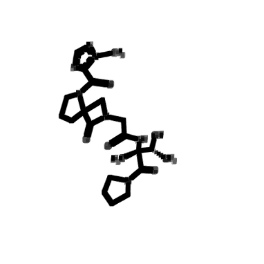 C[C@@H](O)[C@@](C)(NC(=O)CN1CC2(CCCN2C(=O)c2ncnn2C)C1=O)C(=O)N1CCCC1